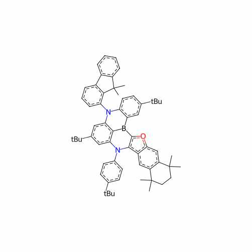 CC(C)(C)c1ccc(N2c3cc(C(C)(C)C)cc4c3B(c3cc(C(C)(C)C)ccc3N4c3cccc4c3C(C)(C)c3ccccc3-4)c3oc4cc5c(cc4c32)C(C)(C)CCC5(C)C)cc1